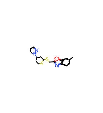 Cc1ccc2nc(CSC3CC(N4CCC=N4)CCS3)oc2c1